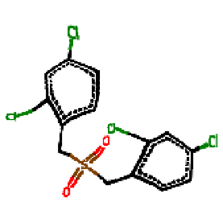 O=S(=O)(Cc1ccc(Cl)cc1Cl)Cc1ccc(Cl)cc1Cl